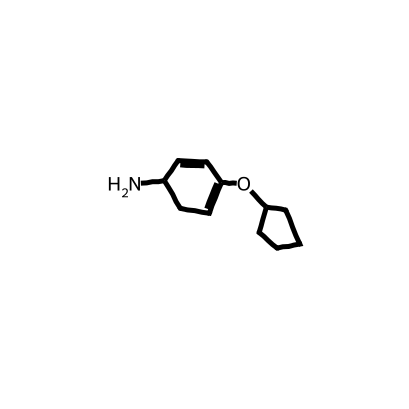 NC1C=CC(OC2CCCC2)=CC1